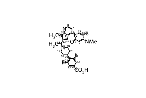 CNc1cc(=O)n(-c2ccnc3c2cc([C@H](C)N2CCC(c4c(F)cc(C(=O)O)cc4F)CC2)n3C)cc1F